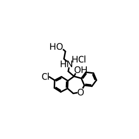 Cl.OCCNCC1(O)c2cc(Cl)ccc2COc2ccccc21